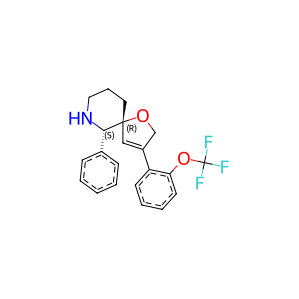 FC(F)(F)Oc1ccccc1C1=C[C@@]2(CCCN[C@H]2c2ccccc2)OC1